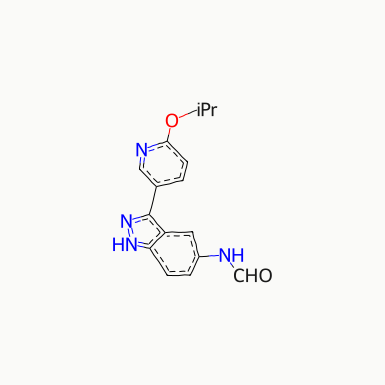 CC(C)Oc1ccc(-c2n[nH]c3ccc(NC=O)cc23)cn1